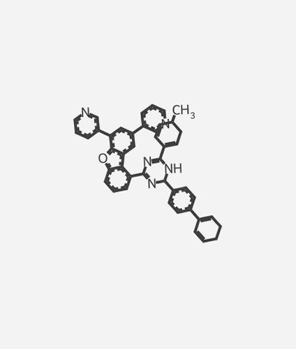 CC1C=CC(C2=NC(c3cccc4oc5c(-c6cccnc6)cc(-c6cccnc6)cc5c34)=NC(c3ccc(C4=CCCC=C4)cc3)N2)=CC1